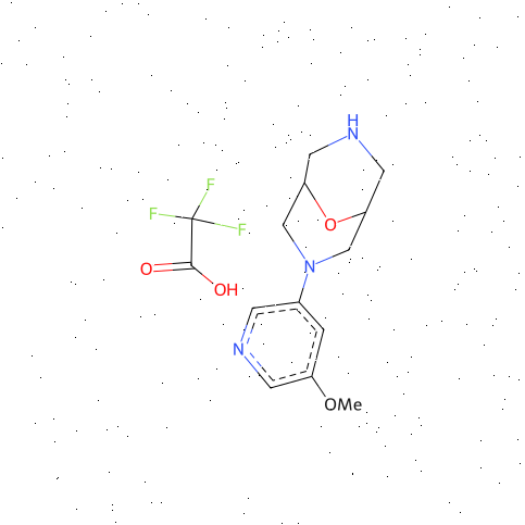 COc1cncc(N2CC3CNCC(C2)O3)c1.O=C(O)C(F)(F)F